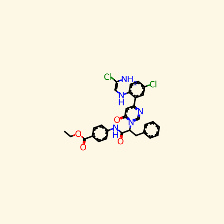 CCOC(=O)c1ccc(NC(=O)C(Cc2ccccc2)n2cnc(-c3cc(Cl)ccc3N/C=C(\N)Cl)cc2=O)cc1